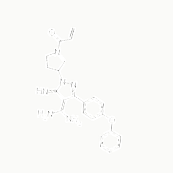 C=CC(=O)N1CCC(N2N=C(c3ccc(Oc4ccccc4)cc3)C(=C(N)N)C2=N)C1